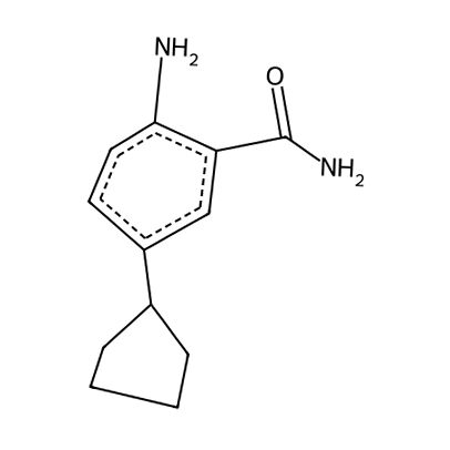 NC(=O)c1cc(C2CCCC2)ccc1N